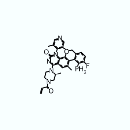 C=CC(=O)N1CCN(c2nc(=O)n(-c3c(C)cncc3C)c3c4c(c(C)cc23)-c2c(ccc(F)c2P)CO4)[C@@H](C)C1